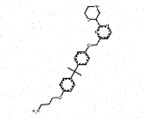 CC(C)(c1ccc(OCCCN)cc1)c1ccc(OCc2ccnc(C3CNCCO3)n2)cc1